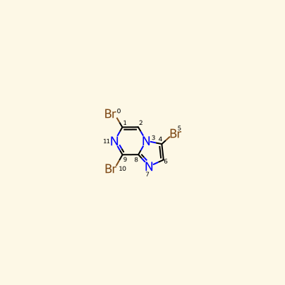 Brc1cn2c(Br)cnc2c(Br)n1